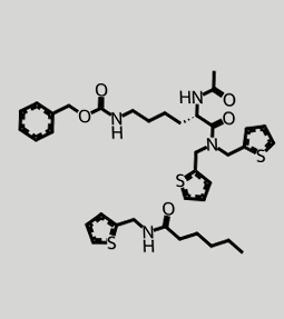 CC(=O)N[C@@H](CCCCNC(=O)OCc1ccccc1)C(=O)N(Cc1cccs1)Cc1cccs1.CCCCCC(=O)NCc1cccs1